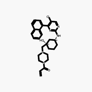 C=CC(=O)N1CCN(C[C@]2(O)CCC[C@@H](Nc3ncc(Cl)c(-c4cc#cc5ccccc45)n3)C2)CC1